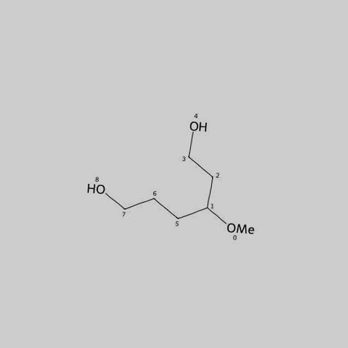 COC(CCO)CCCO